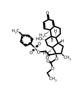 CCOC(=O)O[C@]1(C(=O)COS(=O)(=O)c2ccc(C)cc2)[C@H](C)C[C@H]2[C@@H]3CCC4=CC(=O)C=C[C@]4(C)[C@@]3(F)[C@@H](O)C[C@@]21C